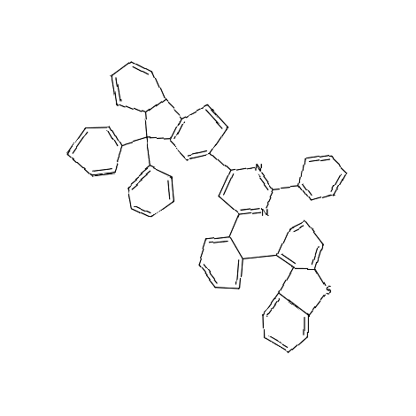 C1=CC2c3ccc(-c4cc(-c5ccccc5-c5cccc6sc7ccccc7c56)nc(-c5ccccc5)n4)cc3C(c3ccccc3)(c3ccccc3)C2C=C1